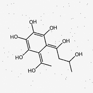 C/C(O)=c1/c(O)c(O)c(O)c(O)/c1=C(\O)CC(C)O